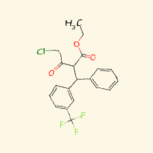 CCOC(=O)C(C(=O)CCl)C(c1ccccc1)c1cccc(C(F)(F)F)c1